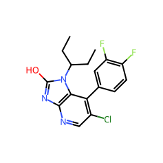 CCC(CC)n1c(O)nc2ncc(Cl)c(-c3ccc(F)c(F)c3)c21